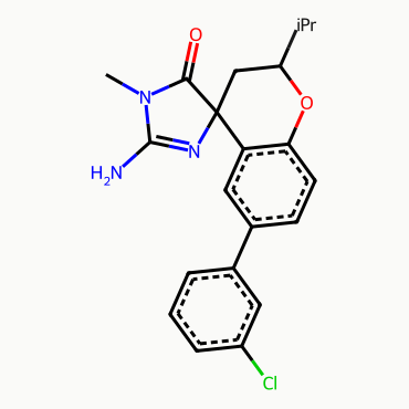 CC(C)C1CC2(N=C(N)N(C)C2=O)c2cc(-c3cccc(Cl)c3)ccc2O1